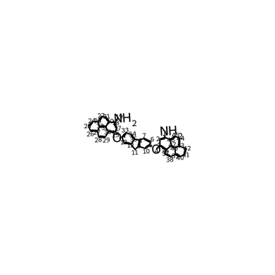 Nc1cc(Oc2ccc3c(c2)Cc2cc(Oc4cc(N)c5ccc6cccc7ccc4c5c67)ccc2-3)c2ccc3cccc4ccc1c2c43